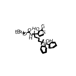 CC(C)(C)OC(=O)N[C@@](C)(CCCC(C)(C)[Si](O)(c1ccccc1)c1ccccc1)c1ccnc(Cl)c1O